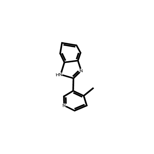 Cc1ccncc1-c1nc2ccccc2[nH]1